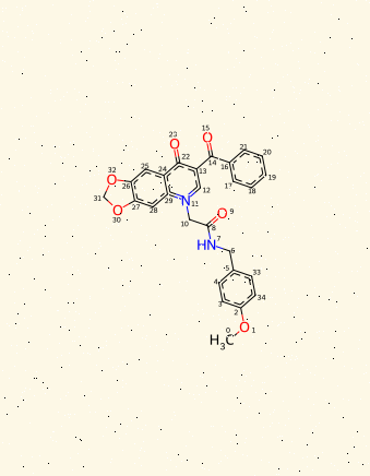 COc1ccc(CNC(=O)Cn2cc(C(=O)c3ccccc3)c(=O)c3cc4c(cc32)OCO4)cc1